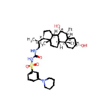 CC[C@H]1[C@@H](O)C2[C@@H]3CC[C@H]([C@H](C)CNC(=O)NS(=O)(=O)c4cccc(N5CCCCC5)c4)C3(C)CC[C@@H]2[C@@]2(C)CC[C@@H](O)C[C@@H]12